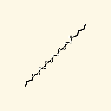 CCCCNOOOOOOOOOOOOCCC